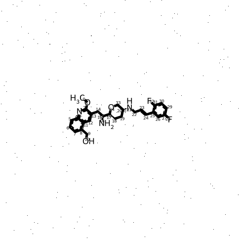 COc1nc2cccc(CO)c2cc1C[C@H](N)[C@@H]1CC[C@@H](NCC=Cc2cc(F)ccc2F)CO1